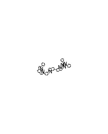 c1ccc(-c2ccc3ccc4ccc(-c5cccc(-c6ccc7ccc(-c8ccc9ccc(-c%10nc(-c%11ccccc%11)nc(-c%11ccccc%11)n%10)nc9c8)cc7n6)c5)nc4c3n2)cc1